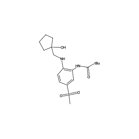 CC(C)(C)C(=O)Nc1cc(S(C)(=O)=O)ccc1NCC1(O)CCCC1